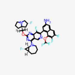 [2H]C([2H])(Oc1nc(N2CCCC[C@H]3[C@H](F)[C@H]32)c2cnc(-c3cc(N)cc4cc(F)c(F)c(OC(F)F)c34)c(F)c2n1)[C@@]12CCCN1C[C@H](F)C2